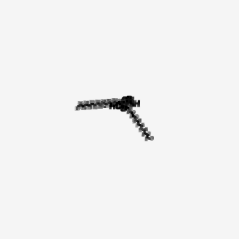 CCCCCCCCCCCCCCCCC(C(=O)S)C(O)(CCCCCCCCCCCCCCCC)C(=O)O